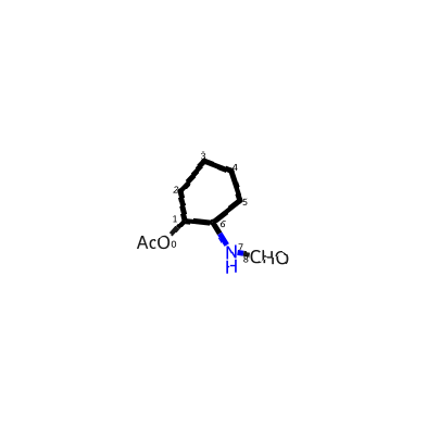 CC(=O)OC1CCCCC1NC=O